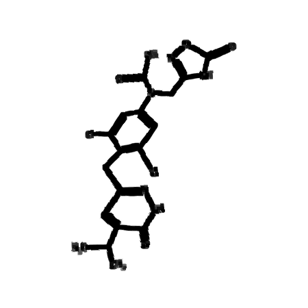 CC(C)c1cc(Cc2c(Cl)cc(N(Cc3noc(=O)[nH]3)C(=O)O)cc2Cl)n[nH]c1=O